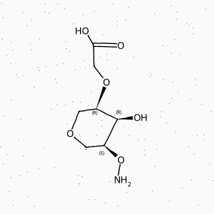 NO[C@H]1[CH]OC[C@@H](OCC(=O)O)[C@H]1O